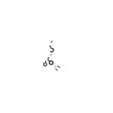 COCCNC(=O)c1ccc2nc(NC(=O)[C@H](CC3CCCC3)c3ccc(S(=O)(=O)N(CCOC)CCC(=O)O)cc3)sc2n1